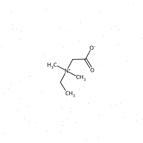 CC[N+](C)(C)CC(=O)[O-]